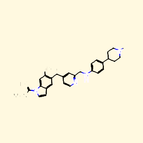 C=C(NC)n1ccc2cc(Cc3ccnc(CNc4ccc(C5CCN(CC)CC5)cc4)c3)c(CCCCC)cc21